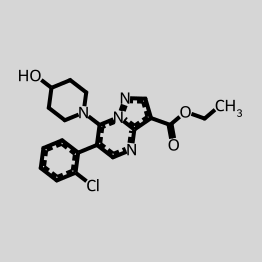 CCOC(=O)c1cnn2c(N3CCC(O)CC3)c(-c3ccccc3Cl)cnc12